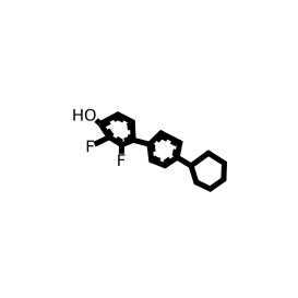 Oc1ccc(-c2ccc(C3CCCCC3)cc2)c(F)c1F